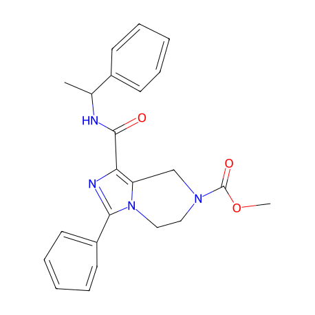 COC(=O)N1CCn2c(-c3ccccc3)nc(C(=O)NC(C)c3ccccc3)c2C1